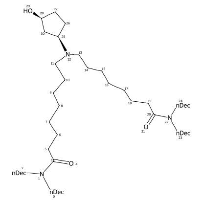 CCCCCCCCCCN(CCCCCCCCCC)C(=O)CCCCCCCN(CCCCCCCC(=O)N(CCCCCCCCCC)CCCCCCCCCC)[C@@H]1CC[C@H](O)C1